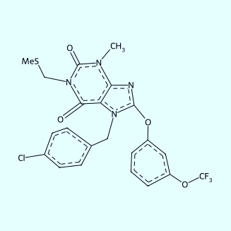 CSCn1c(=O)c2c(nc(Oc3cccc(OC(F)(F)F)c3)n2Cc2ccc(Cl)cc2)n(C)c1=O